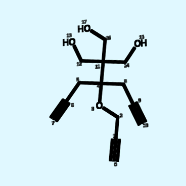 C#CCOC(CC#C)(CC#C)C(CO)(CO)CO